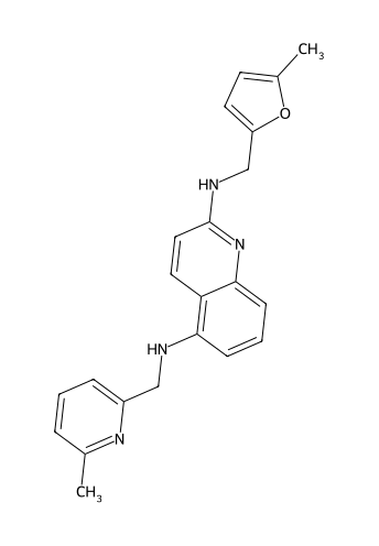 Cc1cccc(CNc2cccc3nc(NCc4ccc(C)o4)ccc23)n1